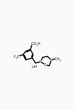 CN1CCN(Cc2cc(C(=O)O)cc(C(F)(F)F)c2)CC1.[LiH]